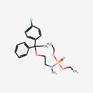 CCOP(=O)(OCC)N(C)CCOC(C)(c1ccccc1)c1ccc(Cl)cc1